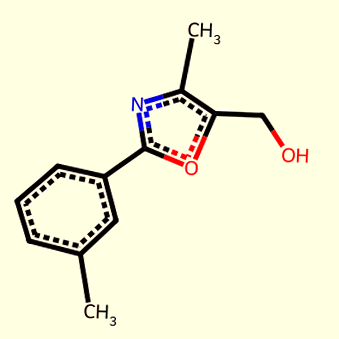 Cc1cccc(-c2nc(C)c(CO)o2)c1